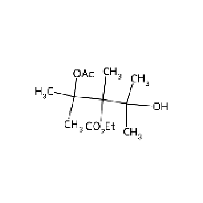 CCOC(=O)C(C)(C(C)(C)O)C(C)(C)OC(C)=O